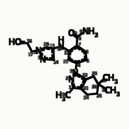 Cc1nn(-c2ccc(C(N)=O)c(Nc3cnn(CCO)c3)c2)c2c1CCC(C)(C)C2